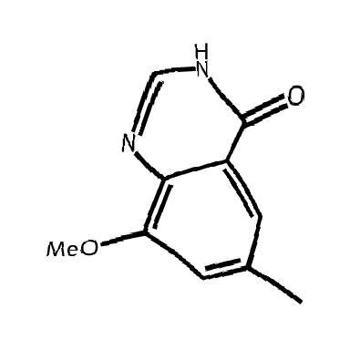 COc1cc(C)cc2c(=O)[nH]cnc12